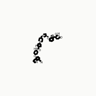 N#Cc1ccc(OC2CCC(NC(=O)c3ccc(N4CCC(CN5CC[C@@H](COc6cccc7c(C8CCC(=O)NC8=O)noc67)C5)CC4)cc3F)CC2)c2cccnc12